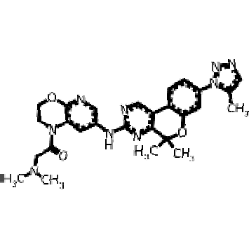 Cc1cnnn1-c1ccc2c(c1)OC(C)(C)c1nc(Nc3cnc4c(c3)N(C(=O)CN(C)C)CCO4)ncc1-2